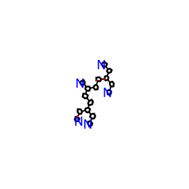 c1cncc(-c2cccc(-c3cc(-c4cccc(-c5cccnc5)c4)cc(-c4cccc(-c5cccc(-c6cc(-c7cccnc7)cc(-c7cccc(-c8cccc(-c9cc(-c%10cccc(-c%11cccnc%11)c%10)cc(-c%10cccc(-c%11cccnc%11)c%10)c9)c8)c7)c6)c5)c4)c3)c2)c1